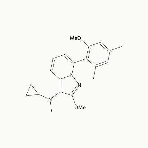 COc1cc(C)cc(C)c1-c1cccc2c(N(C)C3CC3)c(OC)nn12